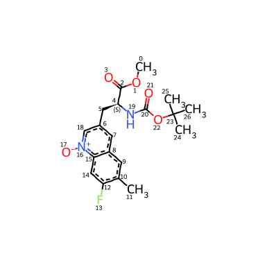 COC(=O)[C@H](Cc1cc2cc(C)c(F)cc2[n+]([O-])c1)NC(=O)OC(C)(C)C